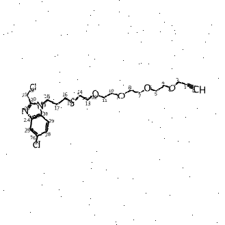 C#CCOCCOCCOCCOCCSCCCn1c(CCl)nc2cc(Cl)ccc21